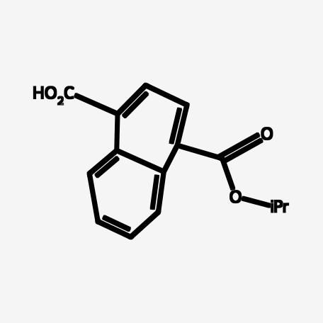 CC(C)OC(=O)c1ccc(C(=O)O)c2ccccc12